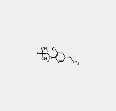 CC(C)(F)COC1=C(Cl)C[C@@H](CN)C=N1